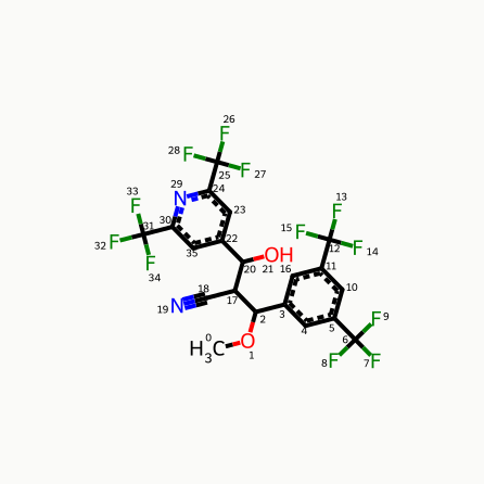 COC(c1cc(C(F)(F)F)cc(C(F)(F)F)c1)C(C#N)C(O)c1cc(C(F)(F)F)nc(C(F)(F)F)c1